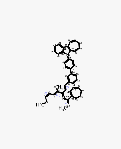 CC/C=C\C=C(/C)C(/C=C/c1cccc(-c2ccc(-n3c4c(c5ccccc53)C=CCC=C4)cc2)c1)=N/C(=N\C)C1=CC=CCCC1